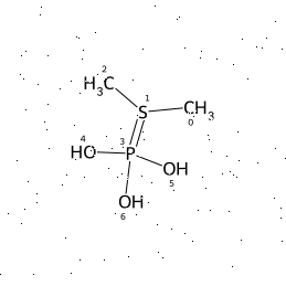 CS(C)=P(O)(O)O